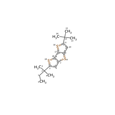 CCC(C)(C)c1cc2sc3cc(C(C)(C)C)sc3c2s1